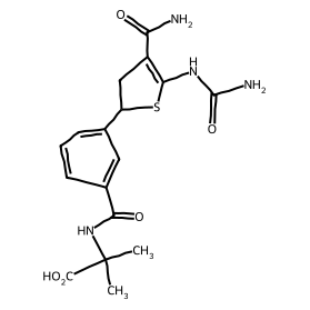 CC(C)(NC(=O)c1cccc(C2CC(C(N)=O)=C(NC(N)=O)S2)c1)C(=O)O